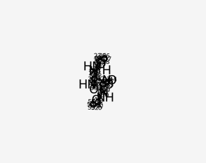 C[C@@H](CC(=O)NC[C@H](Cc1cc(Cc2c(C[C@@H](CNC(=O)C[C@H](C)c3ccccc3)N(C)C)ccc3c2CC(=O)N3)c2[nH]c(=O)oc2c1)N(C)C)c1ccccc1